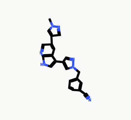 Cn1cc(-c2cnc3[nH]cc(-c4cnn(Cc5cccc(C#N)c5)c4)c3c2)cn1